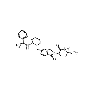 C=C1CCC(N2Cc3cc(C[C@H]4CCCC[C@@H]4N[C@@H](C)c4ccccc4)ccc3C2=O)C(=O)N1